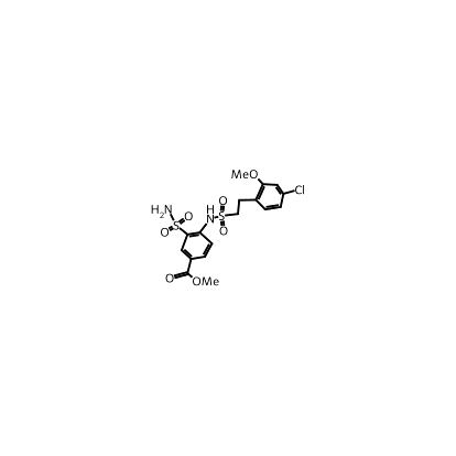 COC(=O)c1ccc(NS(=O)(=O)CCc2ccc(Cl)cc2OC)c(S(N)(=O)=O)c1